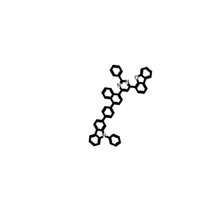 c1ccc(-c2nc(-c3ccc(-c4ccc(-c5ccc6c7ccccc7n(-c7ccccc7)c6c5)cc4)c4ccccc34)cc(-c3cccc4c3oc3ccccc34)n2)cc1